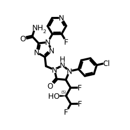 NC(=O)c1nc(CN2NN(c3ccc(Cl)cc3)C(C(F)[C@H](O)C(F)F)C2=O)nn1-c1ccncc1F